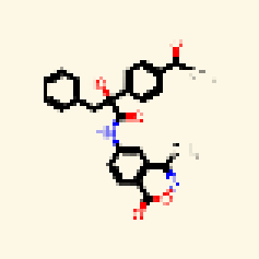 CC(=O)c1ccc(C(O)(Cc2ccccc2)C(=O)Nc2ccc3c(=O)onc(C)c3c2)cc1